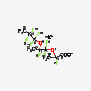 O=C([O-])C(F)(OC(F)(F)C(F)(OC(F)(F)C(F)(F)C(F)(F)F)C(F)(F)F)C(F)(F)F.[K+]